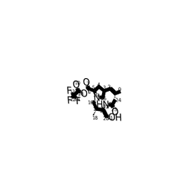 CC=CC1CC(C(=O)OC(=O)C(F)(F)F)N(C[C@@H](C)C(=CO)NC(C)=O)C1